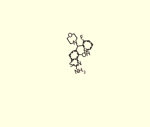 Nc1nc2c(O)c(C(c3ncccc3F)N3CCOCC3)ccc2s1